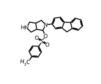 Cc1ccc(S(=O)(=O)OC2C3CNCC3CN2c2ccc3c(c2)Cc2ccccc2-3)cc1